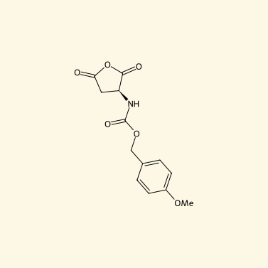 COc1ccc(COC(=O)N[C@H]2CC(=O)OC2=O)cc1